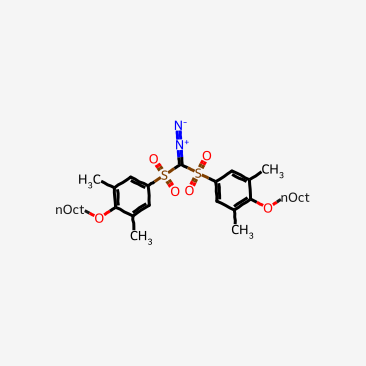 CCCCCCCCOc1c(C)cc(S(=O)(=O)C(=[N+]=[N-])S(=O)(=O)c2cc(C)c(OCCCCCCCC)c(C)c2)cc1C